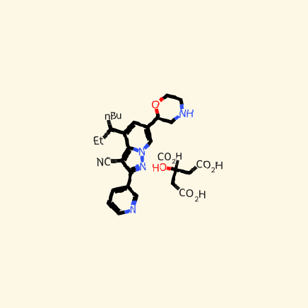 CCCCC(CC)c1cc(C2CNCCO2)cn2nc(-c3cccnc3)c(C#N)c12.O=C(O)CC(O)(CC(=O)O)C(=O)O